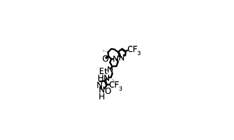 CCN(C[C@H](C)Nc1cn[nH]c(=O)c1C(F)(F)F)C1CCN2c3ncc(C(F)(F)F)cc3CC[C@@H](C)C(=O)C2C1